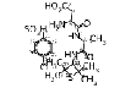 C[C@@H](NC(=O)[C@@H](N)CC(=O)O)C(=O)NC1C(C)(C)SC1(C)C.O=S(=O)(O)c1ccc(Cl)cc1